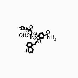 CC(C)(C)OC(=O)CC(C=O)NS(=O)(=O)c1ccc(C(N)=O)cc1OCCc1cccc2ncccc12